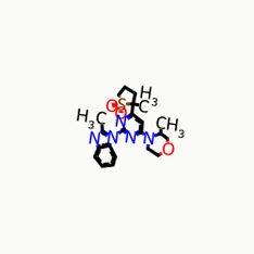 Cc1nc2ccccc2n1-c1nc(N2CCOCC2C)cc(C2(C)CCCS2(=O)=O)n1